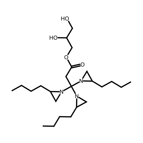 CCCCC1CN1C(CC(=O)OCC(O)CO)(N1CC1CCCC)N1CC1CCCC